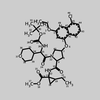 CCOc1cc(OC2CC(C(=O)NC3(C(=O)OC)CC3CC)N(C(=O)C(NC(=O)OC(C)(C)C)C3CCOCC3)C2)c2cccc(Cl)c2n1